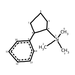 C[Si](C)(C)C1CCCC1c1ccccc1